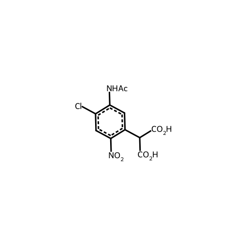 CC(=O)Nc1cc(C(C(=O)O)C(=O)O)c([N+](=O)[O-])cc1Cl